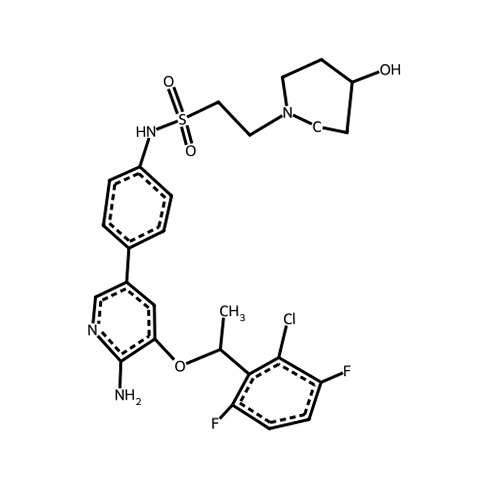 CC(Oc1cc(-c2ccc(NS(=O)(=O)CCN3CCC(O)CC3)cc2)cnc1N)c1c(F)ccc(F)c1Cl